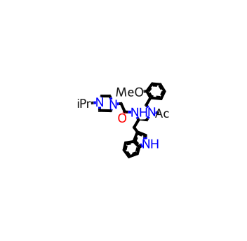 COc1ccccc1CN(C[C@@H](Cc1c[nH]c2ccccc12)NC(=O)CN1CCN(C(C)C)CC1)C(C)=O